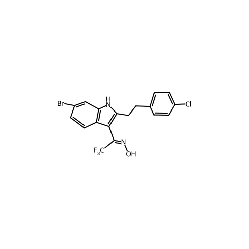 O/N=C(/c1c(CCc2ccc(Cl)cc2)[nH]c2cc(Br)ccc12)C(F)(F)F